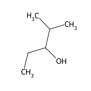 CC[C](O)C(C)C